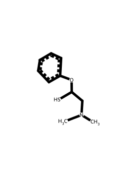 CN(C)CC(S)Oc1cc[c]cc1